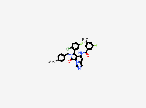 COc1ccc(CN2C(=O)c3c(c(NC(=O)c4cc(F)cc(C(F)(F)F)c4)cc4cncn34)C2c2cc(F)ccc2Cl)cc1